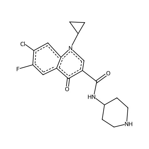 O=C(NC1CCNCC1)c1cn(C2CC2)c2cc(Cl)c(F)cc2c1=O